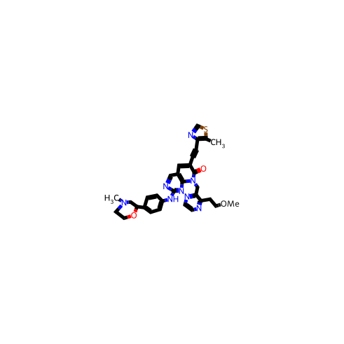 COCCc1nccnc1Cn1c(=O)c(C#Cc2ncsc2C)cc2cnc(Nc3ccc(C4CN(C)CCO4)cc3)nc21